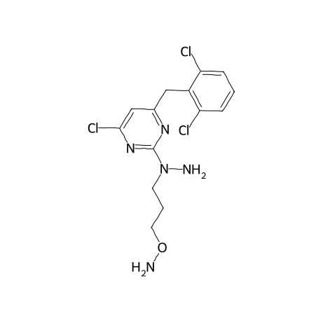 NOCCCN(N)c1nc(Cl)cc(Cc2c(Cl)cccc2Cl)n1